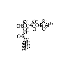 [Al+3].[Al+3].[Al+3].[Al+3].[O-]B([O-])[O-].[O-]B([O-])[O-].[O-]B([O-])[O-].[O-]B([O-])[O-]